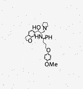 COc1ccc(OCCCC(=P)N[C@H](CN2CCCC2)[C@H](O)c2ccc3c(c2)OCC3)cc1